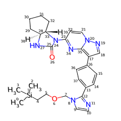 C[Si](C)(C)CCOCn1ccnc1-c1ccc(-c2cnn3ccc(N4C(=O)N[C@H]5CCCC[C@@H]54)nc23)cc1